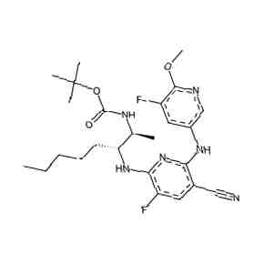 CCCCC[C@@H](Nc1nc(Nc2cnc(OC)c(F)c2)c(C#N)cc1F)[C@H](C)NC(=O)OC(C)(C)C